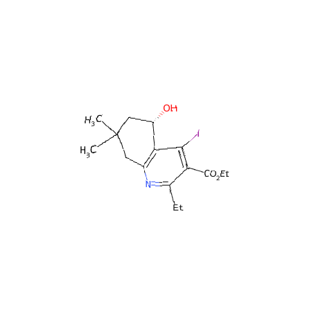 CCOC(=O)c1c(CC)nc2c(c1I)[C@@H](O)CC(C)(C)C2